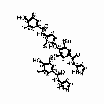 CC(C)(C)c1cc(C(=O)Nc2ccn[nH]2)cc(C(C)(C)C)c1O.Cc1cc(C(=O)Nc2ccn[nH]2)cc(C)c1O.Cc1cc(C(=O)Nc2ccnn2C)cc(C)c1O